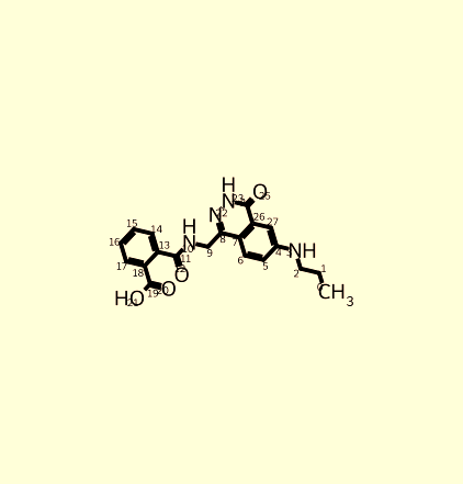 CCCNc1ccc2c(CNC(=O)c3ccccc3C(=O)O)n[nH]c(=O)c2c1